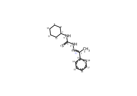 C/C(=N\NC(=S)NC1CCCCC1)c1ccccn1